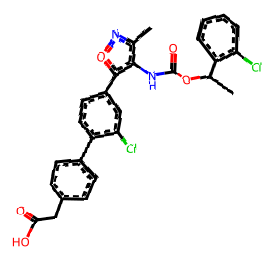 Cc1noc(-c2ccc(-c3ccc(CC(=O)O)cc3)c(Cl)c2)c1NC(=O)OC(C)c1ccccc1Cl